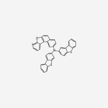 c1ccc2c(c1)sc1cc(N(c3ccc4sc5ccccc5c4c3)c3ccc4ccc5oc6ncccc6c5c4c3)ccc12